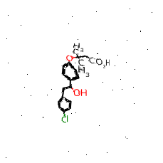 CC(C)(CC(=O)O)Oc1ccc(C(O)Cc2ccc(Cl)cc2)cc1